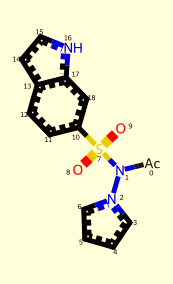 CC(=O)N(n1cccc1)S(=O)(=O)c1ccc2cc[nH]c2c1